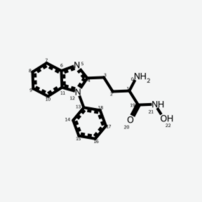 NC(CCc1nc2ccccc2n1-c1ccccc1)C(=O)NO